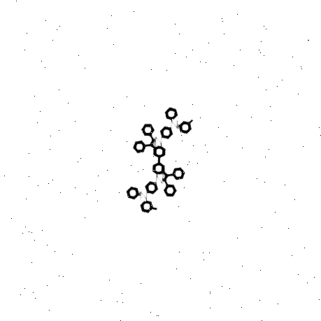 Cc1cccc(N(c2ccccc2)c2ccc(-n3c(-c4ccccc4)c(-c4ccccc4)c4cc(-c5ccc6c(c5)c(-c5ccccc5)c(-c5ccccc5)n6-c5ccc(N(c6ccccc6)c6cccc(C)c6)cc5)ccc43)cc2)c1